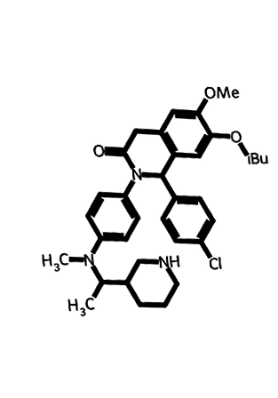 CCC(C)Oc1cc2c(cc1OC)CC(=O)N(c1ccc(N(C)C(C)C3CCCNC3)cc1)C2c1ccc(Cl)cc1